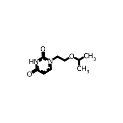 CC(C)OCCn1ccc(=O)[nH]c1=O